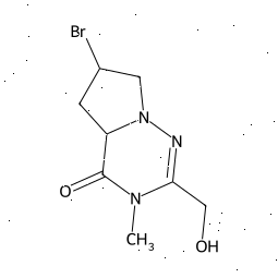 CN1C(=O)C2CC(Br)CN2N=C1CO